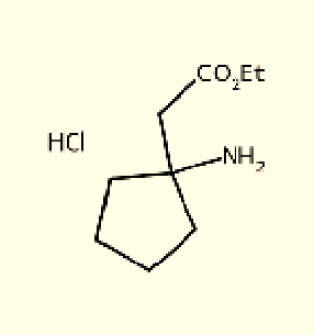 CCOC(=O)CC1(N)CCCC1.Cl